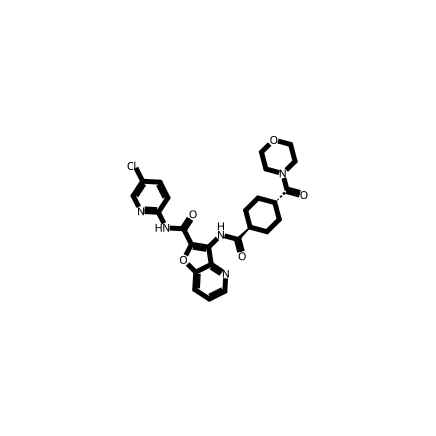 O=C(Nc1ccc(Cl)cn1)c1oc2cccnc2c1NC(=O)[C@H]1CC[C@H](C(=O)N2CCOCC2)CC1